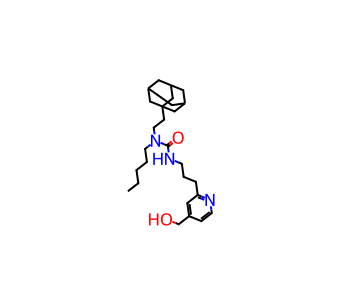 CCCCCN(CCC12CC3CC(CC(C3)C1)C2)C(=O)NCCCc1cc(CO)ccn1